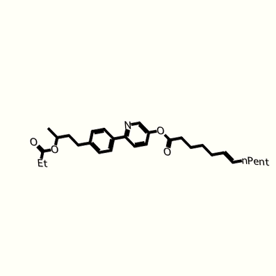 CCCCC/C=C/CCCCC(=O)Oc1ccc(-c2ccc(CCC(C)OC(=O)CC)cc2)nc1